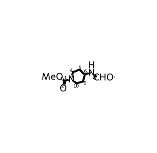 COC(=O)N1CCC(N[C]=O)CC1